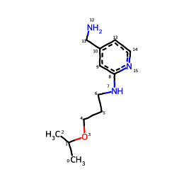 CC(C)OCCCNc1cc(CN)ccn1